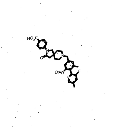 CCOc1cc(CN2CCC3(CC2)CC(=O)N(c2ccc(C(=O)O)cc2)C3)cc(C)c1-c1ncc(C)cc1F